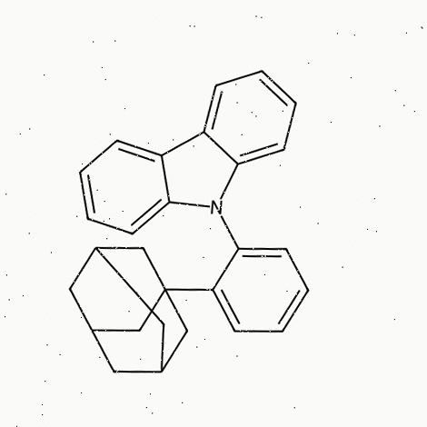 c1ccc(C23CC4CC(CC(C4)C2)C3)c(-n2c3ccccc3c3ccccc32)c1